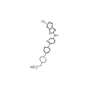 O=C(O)CC1CCC(c2ccc(-c3ccc(Nc4nc5ccc(Cl)cc5o4)cn3)cc2)CC1